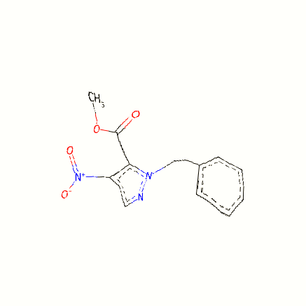 COC(=O)c1c([N+](=O)[O-])cnn1Cc1ccccc1